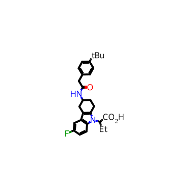 CCC(C(=O)O)n1c2c(c3cc(F)ccc31)CC(NC(=O)Cc1ccc(C(C)(C)C)cc1)CC2